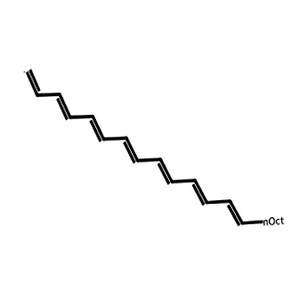 [CH]=C/C=C/C=C/C=C/C=C/C=C/C=C/CCCCCCCC